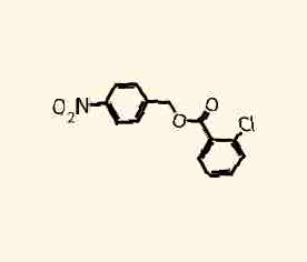 O=C(OCc1ccc([N+](=O)[O-])cc1)c1ccccc1Cl